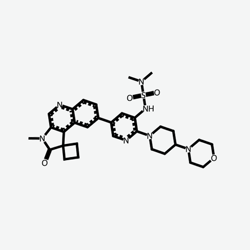 CN1C(=O)C2(CCC2)c2c1cnc1ccc(-c3cnc(N4CCC(N5CCOCC5)CC4)c(NS(=O)(=O)N(C)C)c3)cc21